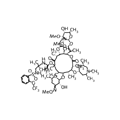 CON=C1C[C@@H](C)O[C@@H](O[C@@H]2[C@@H](C)[C@H](O[C@H]3CC(C)N(C)C[C@H](C)O3)[C@@H](C)C(=O)O[C@H](C(C)CO[C@@H]3O[C@H](C)[C@@H](O)[C@@H](OC)[C@H]3OC)[C@H](C)[C@@H](OC(=O)CC(C)C)[C@@H](C)C(=O)[C@@](C)(OC(=O)NC(C)(C)CNS(=O)(=O)c3ccccc3OC(F)(F)F)C[C@@H]2C)[C@@H]1O